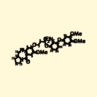 CCC(CCOc1cc2c(cc1OC)C(=O)N1CCCC1C=N2)Oc1cccc(Oc2ccc(OC)c(OC)c2)c1[N+](=O)[O-]